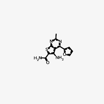 Cc1nc(-c2ccco2)c2c(N)c(C(N)=O)sc2n1